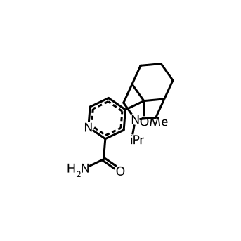 COC1(c2ccnc(C(N)=O)c2)C2CCCC1CN(C(C)C)C2